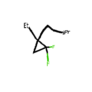 CCC1(CC(C)C)CC1(F)F